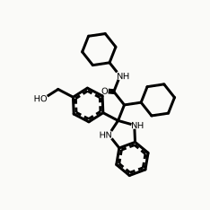 O=C(NC1CCCCC1)C(C1CCCCC1)C1(c2ccc(CO)cc2)Nc2ccccc2N1